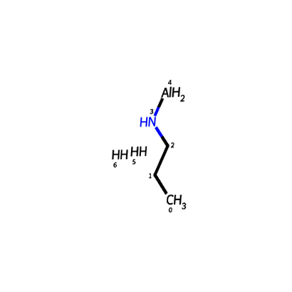 CCC[NH][AlH2].[HH].[HH]